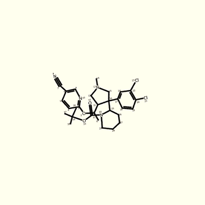 CC(Oc1ccc(C#N)cn1)C1CN(C)CC1(c1ccc(Cl)c(Cl)c1)C1CCCCN1C(=O)OC(C)(C)C